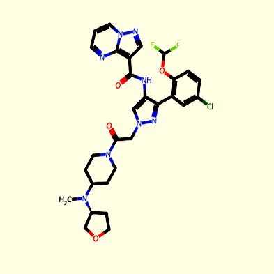 CN(C1CCN(C(=O)Cn2cc(NC(=O)c3cnn4cccnc34)c(-c3cc(Cl)ccc3OC(F)F)n2)CC1)[C@H]1CCOC1